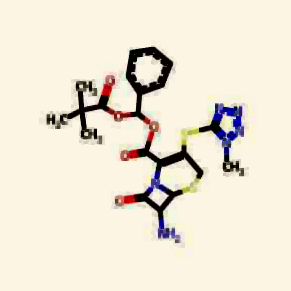 Cn1nnnc1SC1=C(C(=O)OC(OC(=O)C(C)(C)C)c2ccccc2)N2C(=O)C(N)C2SC1